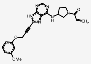 C=CC(=O)N1CCC(Nc2ncnc3[nH]c(C#CCOc4cccc(OC)c4)nc23)C1